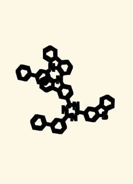 c1ccc(-c2cccc(-c3nc(-c4ccc5sc6ccccc6c5c4)nc(-c4ccc5c(c4)c4ccccc4n5-c4cccc5c6ccccc6n(-c6cccc(-c7ccccc7)c6)c45)n3)c2)cc1